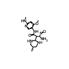 CNc1cc(OC)c(NC(=O)C(C(N)N=O)C2NCC(F)CN2)cn1